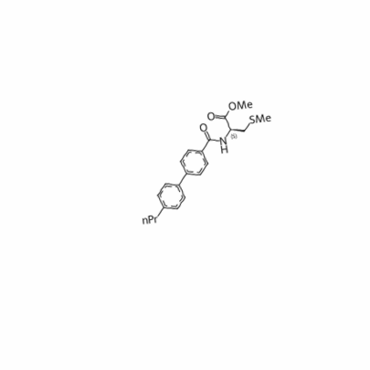 CCCc1ccc(-c2ccc(C(=O)N[C@H](CSC)C(=O)OC)cc2)cc1